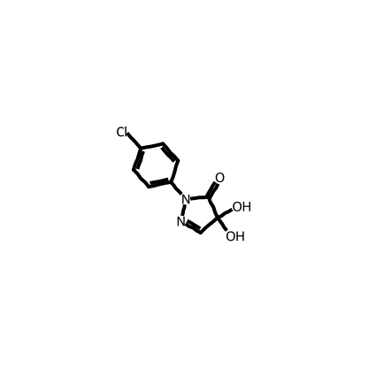 O=C1N(c2ccc(Cl)cc2)N=CC1(O)O